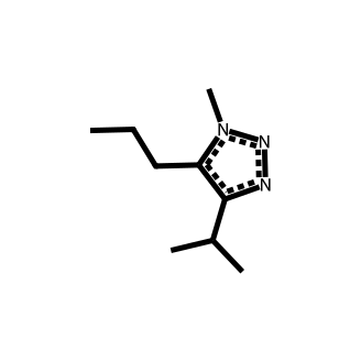 CCCc1c(C(C)C)nnn1C